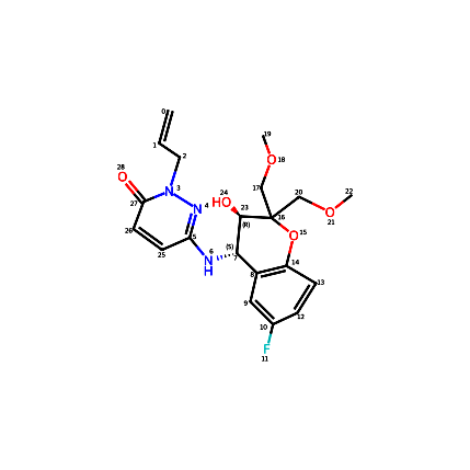 C=CCn1nc(N[C@H]2c3cc(F)ccc3OC(COC)(COC)[C@@H]2O)ccc1=O